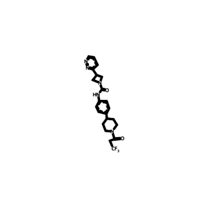 O=C(CC(F)(F)F)N1CCC(c2ccc(NC(=O)N3CC(c4cccnn4)C3)cc2)CC1